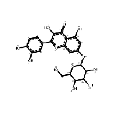 O=c1c(O)c(-c2ccc(O)c(O)c2)oc2cc(OC3OC(CO)C(O)C(O)C3O)cc(O)c12